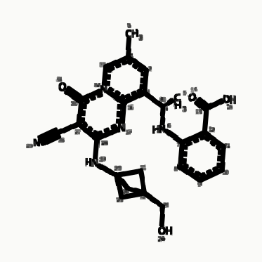 Cc1cc([C@@H](C)Nc2ccccc2C(=O)O)c2nc(NC34CC(CO)(C3)C4)c(C#N)c(=O)n2c1